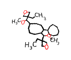 CCC1(C(OC)C2CCCC(C(OC)C3(CC)COC3)C(C3CCCCCCC3)CC2)COC1